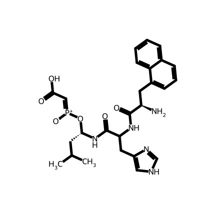 CC(C)C[C@@H](NC(=O)C(Cc1c[nH]cn1)NC(=O)[C@H](N)Cc1cccc2ccccc12)O/[P+]([O-])=C/C(=O)O